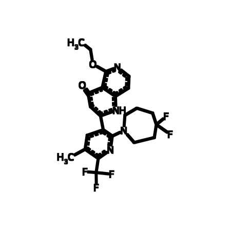 CCOc1nccc2[nH]c(-c3cc(C)c(C(F)(F)F)nc3N3CCCC(F)(F)CC3)cc(=O)c12